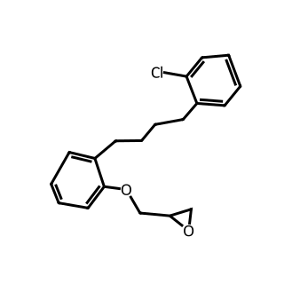 Clc1ccccc1CCCCc1ccccc1OCC1CO1